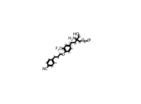 N#Cc1ccc(CCCOc2ccc(CCC(N)(CO)COP=O)cc2C(F)(F)F)cc1